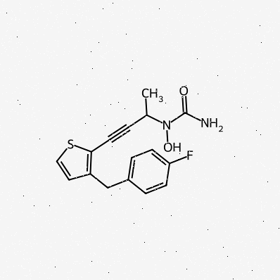 CC(C#Cc1sccc1Cc1ccc(F)cc1)N(O)C(N)=O